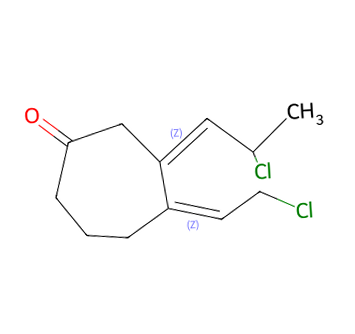 CC(Cl)/C=C1/CC(=O)CCC/C1=C/CCl